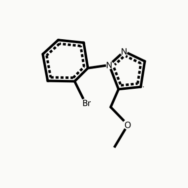 COCc1[c]cnn1-c1ccccc1Br